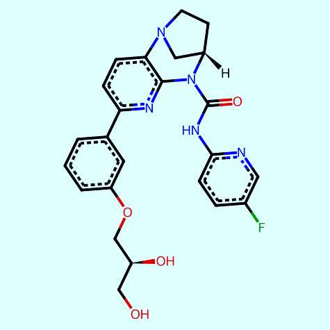 O=C(Nc1ccc(F)cn1)N1c2nc(-c3cccc(OC[C@@H](O)CO)c3)ccc2N2CC[C@H]1C2